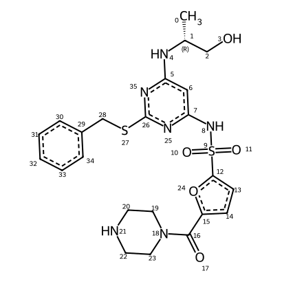 C[C@H](CO)Nc1cc(NS(=O)(=O)c2ccc(C(=O)N3CCNCC3)o2)nc(SCc2ccccc2)n1